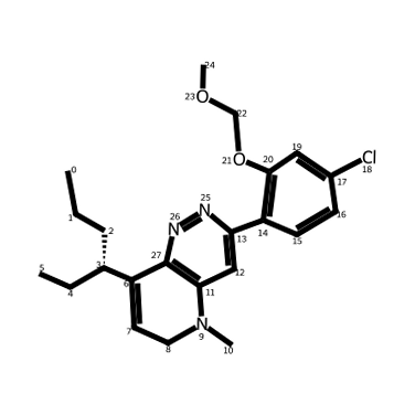 CCC[C@@H](CC)C1=CCN(C)c2cc(-c3ccc(Cl)cc3OCOC)nnc21